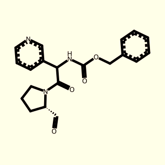 O=C[C@@H]1CCCN1C(=O)C(NC(=O)OCc1ccccc1)c1cccnc1